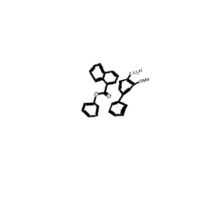 COc1cc(-c2ccccc2)ccc1C(=O)O.O=C(Oc1ccccc1)c1cccc2ccccc12